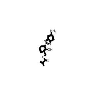 C=C(C)C(=O)OCc1cccc(-n2nc3ccc(N)cc3n2)c1O